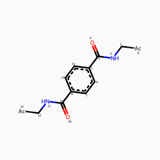 CC(=O)CNC(=O)c1ccc(C(=O)NCC(C)=O)cc1